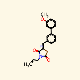 C=CCN1C(=O)S/C(=C\c2cccc(-c3cccc(OC)c3)c2)C1=O